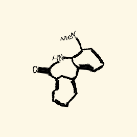 CNc1cccc2c1[nH]c(=O)c1ccccc12